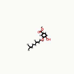 COC(=O)c1ccc(O)c(OC/C=C(\C)CCC=C(C)C)c1